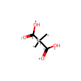 C[Si](C)(C(=O)O)C(=O)O